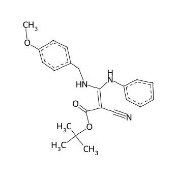 COc1ccc(CNC(Nc2ccccc2)=C(C#N)C(=O)OC(C)(C)C)cc1